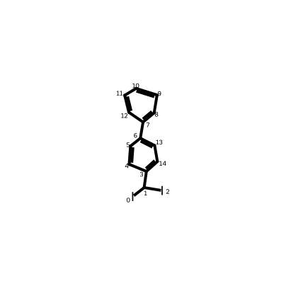 IC(I)c1ccc(-c2ccccc2)cc1